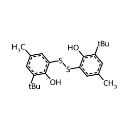 Cc1cc(SSc2cc(C)cc(C(C)(C)C)c2O)c(O)c(C(C)(C)C)c1